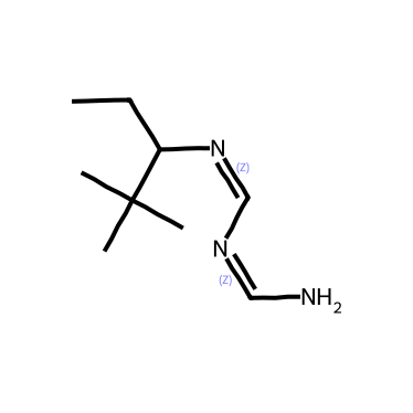 CCC(/N=C\N=C/N)C(C)(C)C